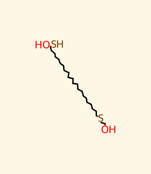 OCCSCCCCCCCCCCCCCCCCCCCCCC(O)S